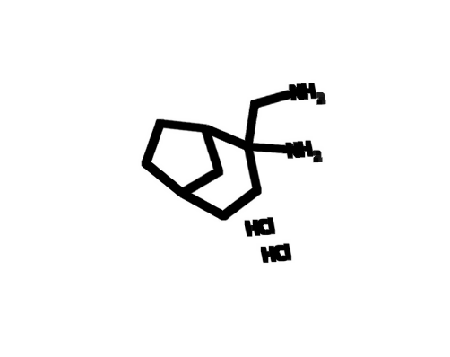 Cl.Cl.NCC1(N)CCC2CCC1C2